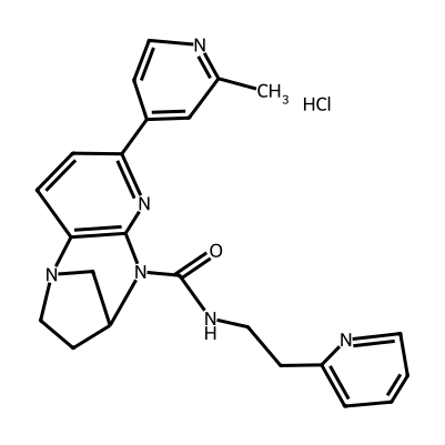 Cc1cc(-c2ccc3c(n2)N(C(=O)NCCc2ccccn2)C2CCN3C2)ccn1.Cl